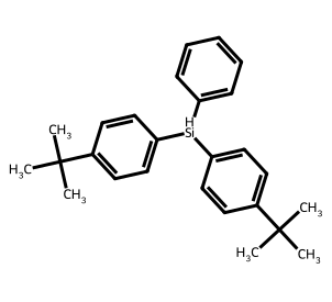 CC(C)(C)c1ccc([SiH](c2ccccc2)c2ccc(C(C)(C)C)cc2)cc1